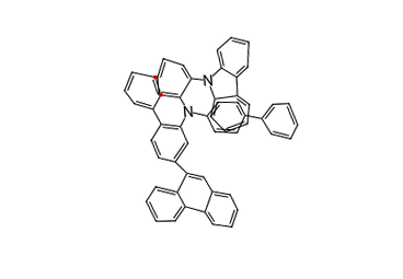 c1ccc(-c2ccc(N(c3cc(-c4cc5ccccc5c5ccccc45)ccc3-c3ccccc3)c3ccccc3-n3c4ccccc4c4ccccc43)cc2)cc1